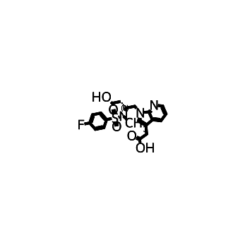 CN([C@H](CCO)Cn1cc(CC(=O)O)c2cccnc21)S(=O)(=O)c1ccc(F)cc1